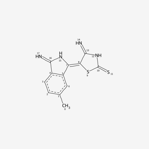 Cc1ccc2c(c1)/C(=C1\SC(=S)NC1=N)NC2=N